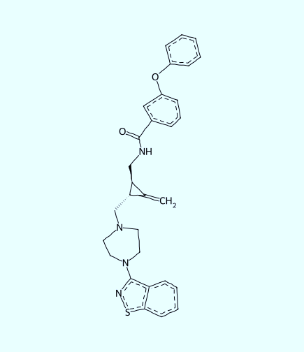 C=C1[C@H](CNC(=O)c2cccc(Oc3ccccc3)c2)[C@H]1CN1CCN(c2nsc3ccccc23)CC1